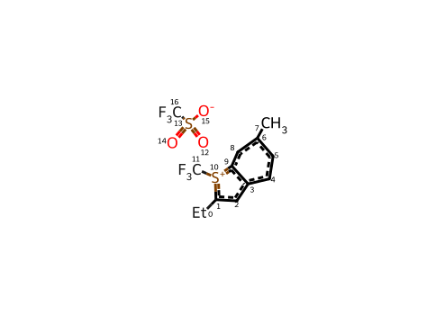 CCc1cc2ccc(C)cc2[s+]1C(F)(F)F.O=S(=O)([O-])C(F)(F)F